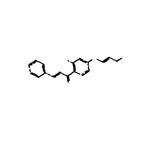 CC/C=C/Oc1ccc(C(=O)/C=C/c2ccccc2)c(O)c1